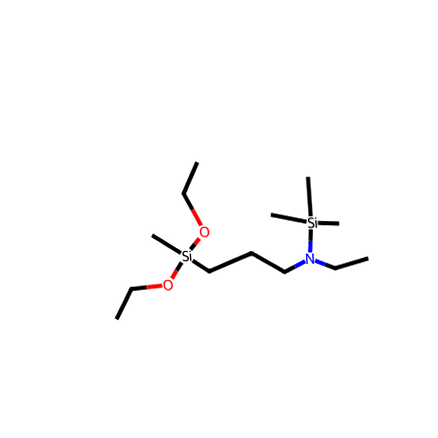 CCO[Si](C)(CCCN(CC)[Si](C)(C)C)OCC